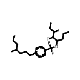 CCCC(C)CCCc1ccc(C(F)(F)OC(CCC)C(F)C(F)CC)cc1